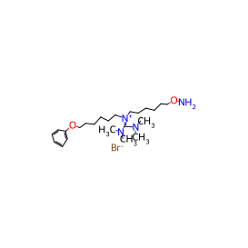 CN(C)C(N(C)C)=[N+](CCCCCCON)CCCCCCOc1ccccc1.[Br-]